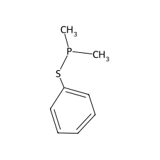 CP(C)Sc1ccccc1